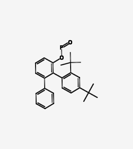 CC(C)(C)c1ccc(-c2c(OP=O)cccc2-c2ccccc2)c(C(C)(C)C)c1